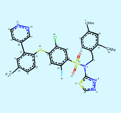 COc1ccc(CN(c2nncs2)S(=O)(=O)c2cc(Cl)c(Sc3ccc(C(F)(F)F)cc3-c3ccnnc3)cc2F)c(OC)c1